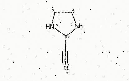 N#CC1N[CH]CN1